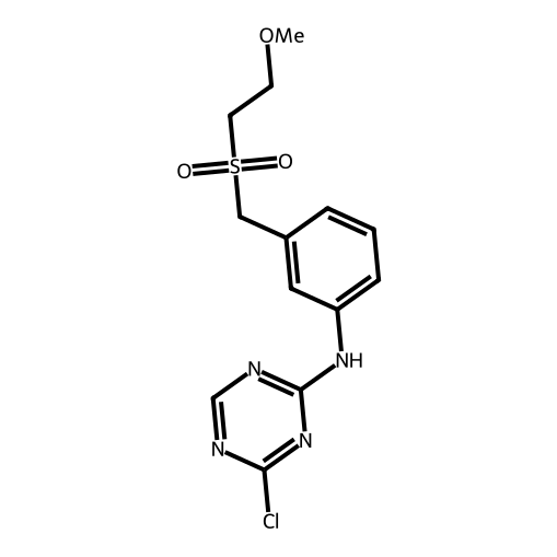 COCCS(=O)(=O)Cc1cccc(Nc2ncnc(Cl)n2)c1